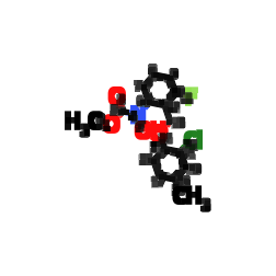 COC(=O)N(O)c1cccc(F)c1COc1ccc(C)cc1Cl